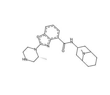 C[C@@H]1CNCCN1c1nc2c(C(=O)NC3CC4CCCC(C3)N4C)cccc2o1